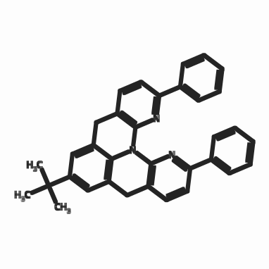 CC(C)(C)c1cc2c3c(c1)Cc1ccc(-c4ccccc4)nc1N3c1nc(-c3ccccc3)ccc1C2